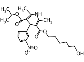 CC1=C(C(=O)OCCCCCCO)C(c2cccc([N+](=O)[O-])c2)C(C(=O)OC(C)C)=C(C)N1